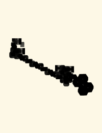 NCCOP(=O)(O)OCCOCCOCCOCCOCCOCCOP(=O)(O)OC(COP(=O)(O)O)Cc1ccc2c3cccc4cccc(c5cccc1c52)c43